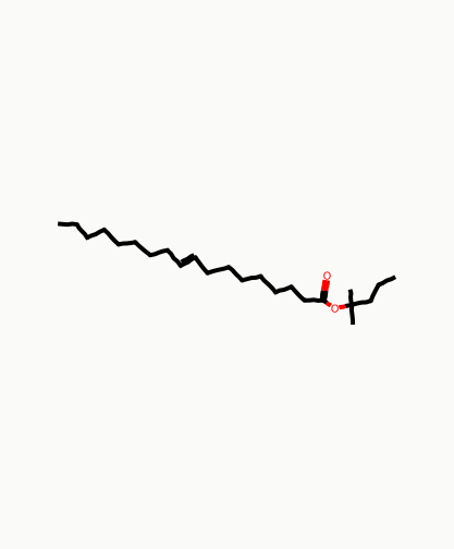 CCCCCCCCC=CCCCCCCCC(=O)OC(C)(C)CCC